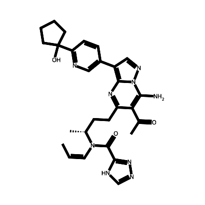 C/C=C\N(C(=O)c1nnc[nH]1)[C@H](C)CCc1nc2c(-c3ccc(C4(O)CCCC4)nc3)cnn2c(N)c1C(C)=O